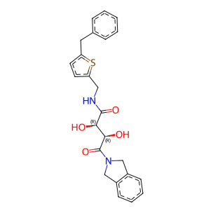 O=C(NCc1ccc(Cc2ccccc2)s1)[C@H](O)[C@@H](O)C(=O)N1Cc2ccccc2C1